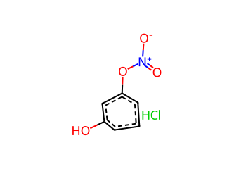 Cl.O=[N+]([O-])Oc1cccc(O)c1